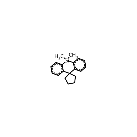 C[Si]1(C)c2ccccc2C2(CCCC2)c2ccccc21